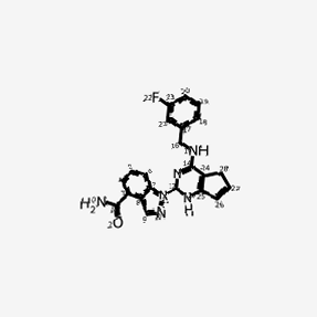 NC(=O)c1cccc2c1cnn2C1N=C(NCc2cccc(F)c2)C2=C(C=CC2)N1